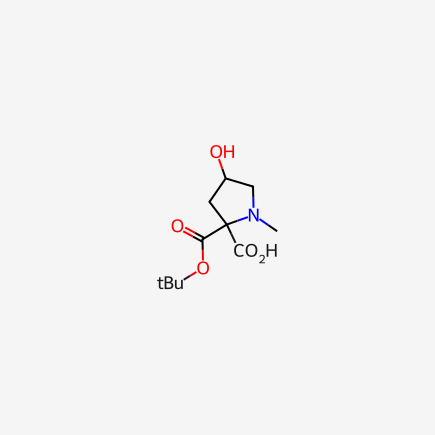 CN1CC(O)CC1(C(=O)O)C(=O)OC(C)(C)C